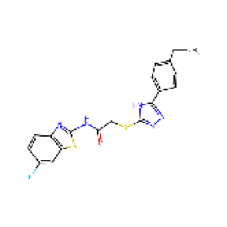 CCc1ccc(-c2nnc(SCC(=O)Nc3nc4ccc(F)cc4s3)[nH]2)cc1